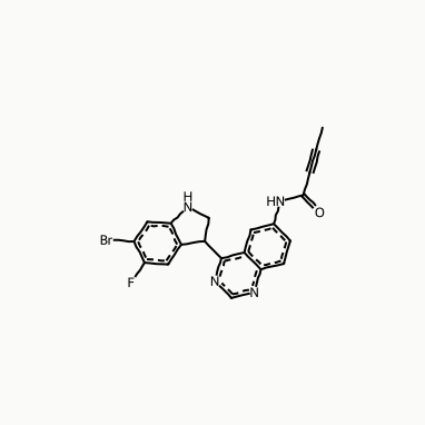 CC#CC(=O)Nc1ccc2ncnc(C3CNc4cc(Br)c(F)cc43)c2c1